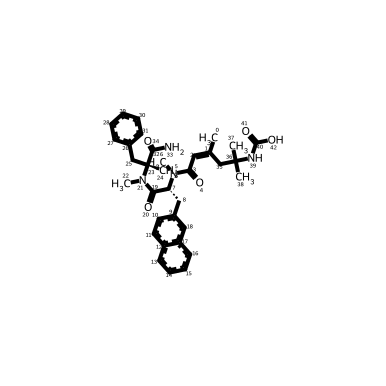 CC(=CC(=O)N(C)[C@H](Cc1ccc2ccccc2c1)C(=O)N(C)[C@](C)(Cc1ccccc1)C(N)=O)CC(C)(C)NC(=O)O